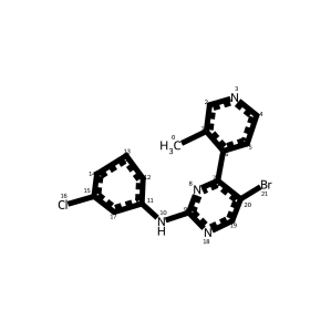 Cc1cnccc1-c1nc(Nc2cccc(Cl)c2)ncc1Br